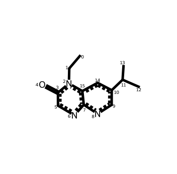 CCn1c(=O)cnc2ncc(C(C)C)cc21